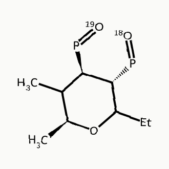 CCC1O[C@@H](C)C(C)[C@@H](P=[19O])[C@@H]1P=[18O]